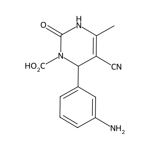 CC1=C(C#N)C(c2cccc(N)c2)N(C(=O)O)C(=O)N1